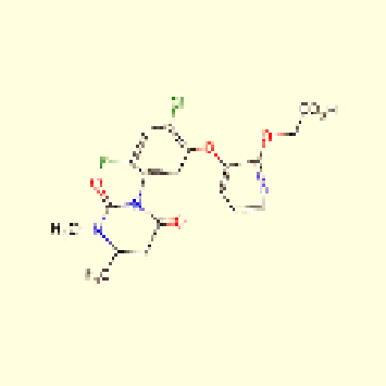 CN1C(=O)N(c2cc(Oc3cccnc3OCC(=O)O)c(Cl)cc2F)C(=O)CC1C(F)(F)F